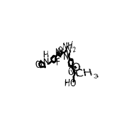 CC(CCO)S(=O)(=O)c1ccc(-c2cnc(N)c(-c3cc(-c4ccc(CNC5CCOC5)cc4F)no3)n2)cc1